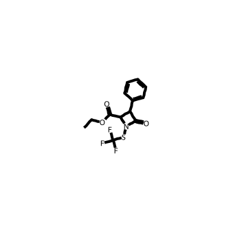 CCOC(=O)C1C(c2ccccc2)C(=O)N1SC(F)(F)F